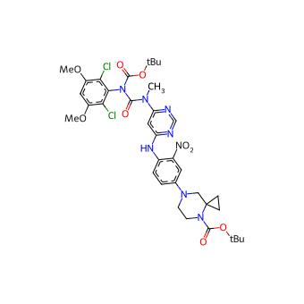 COc1cc(OC)c(Cl)c(N(C(=O)OC(C)(C)C)C(=O)N(C)c2cc(Nc3ccc(N4CCN(C(=O)OC(C)(C)C)C5(CC5)C4)cc3[N+](=O)[O-])ncn2)c1Cl